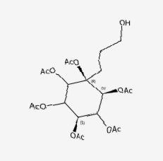 CC(=O)OC1C(OC(C)=O)[C@@](CCCO)(OC(C)=O)[C@@H](OC(C)=O)C(OC(C)=O)[C@H]1OC(C)=O